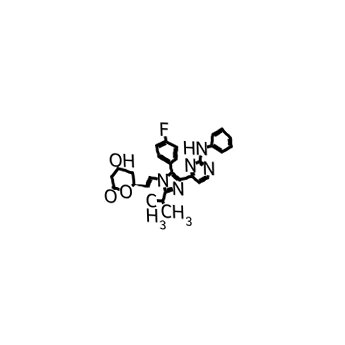 CC(C)c1nc(-c2ccnc(Nc3ccccc3)n2)c(-c2ccc(F)cc2)n1/C=C/[C@@H]1C[C@@H](O)CC(=O)O1